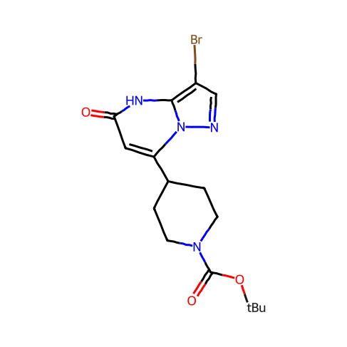 CC(C)(C)OC(=O)N1CCC(c2cc(=O)[nH]c3c(Br)cnn23)CC1